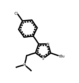 CN(C)Cc1sc(C(C)(C)C)nc1-c1ccc(Cl)cc1